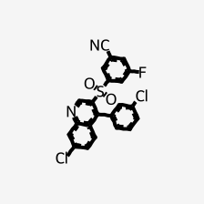 N#Cc1cc(F)cc(S(=O)(=O)c2cnc3cc(Cl)ccc3c2-c2cccc(Cl)c2)c1